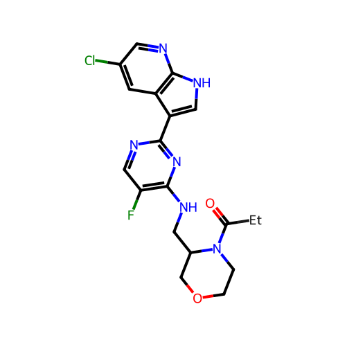 CCC(=O)N1CCOCC1CNc1nc(-c2c[nH]c3ncc(Cl)cc23)ncc1F